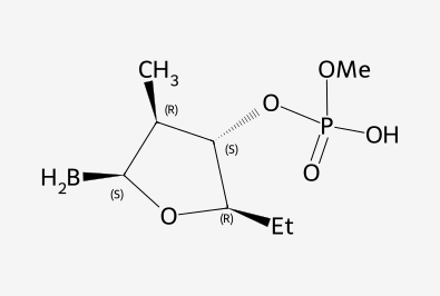 B[C@@H]1O[C@H](CC)[C@@H](OP(=O)(O)OC)[C@@H]1C